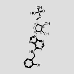 O=P(O)(O)OC[C@H]1O[C@@H](n2cnc3c(NCc4ccccc4Br)ncnc32)[C@H](O)[C@@H]1O